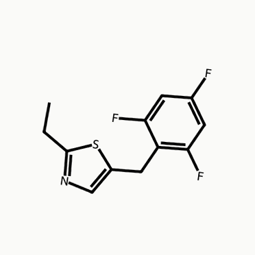 CCc1ncc(Cc2c(F)cc(F)cc2F)s1